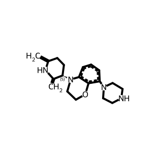 C=C1CC[C@H](N2CCOc3c(N4CCNCC4)cccc32)C(=C)N1